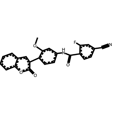 COc1cc(NC(=O)c2ccc(C#N)cc2F)ccc1-c1cc2ccccc2oc1=O